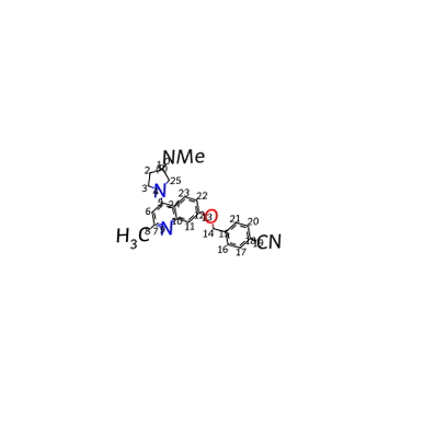 CN[C@@H]1CCN(c2cc(C)nc3cc(OCc4ccc(C#N)cc4)ccc23)C1